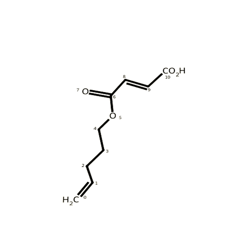 C=CCCCOC(=O)C=CC(=O)O